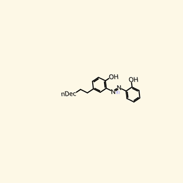 CCCCCCCCCCCCc1ccc(O)c(/N=N/c2ccccc2O)c1